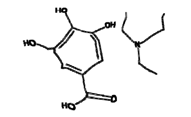 CCN(CC)CC.O=C(O)c1cc(O)c(O)c(O)c1